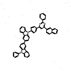 c1ccc(-c2nc(-c3ccc(-n4c5ccccc5c5cc(-c6ccc7c(c6)c6ccccc6n7-c6ccccc6)ccc54)cc3)cc(-c3ccc4ccccc4c3)n2)cc1